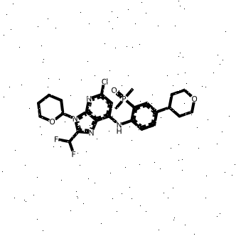 CP(C)(=O)c1cc(C2CCOCC2)ccc1Nc1cc(Cl)nc2c1nc(C(F)F)n2C1CCCCO1